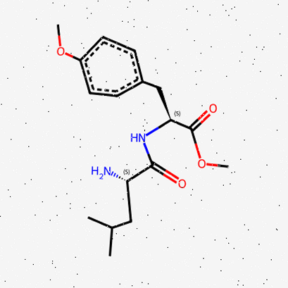 COC(=O)[C@H](Cc1ccc(OC)cc1)NC(=O)[C@@H](N)CC(C)C